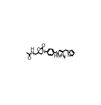 CC(=O)NCC1CN(c2ccc(N3C=C(Cn4cccn4)N(F)N3)cc2)C(=O)O1